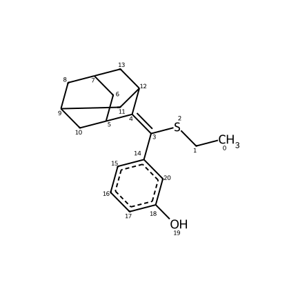 CCSC(=C1C2CC3CC(C2)CC1C3)c1cccc(O)c1